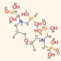 C=P(O)(O)CN(CC(C)COC(C)CN(CP(=O)(O)O)CP(=O)(O)O)CP(=O)(O)O